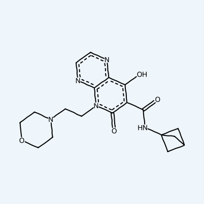 O=C(NC12CC(C1)C2)c1c(O)c2nccnc2n(CCN2CCOCC2)c1=O